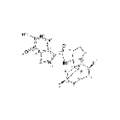 Cn1nnc2c(C(=O)NC3(C45CC6C[C@H](C4)C[C@@H](C6)C5)CCCC3)ncn2c1=O